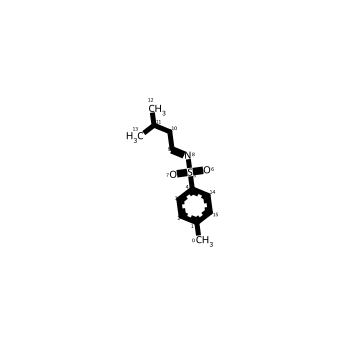 Cc1ccc(S(=O)(=O)N=CCC(C)C)cc1